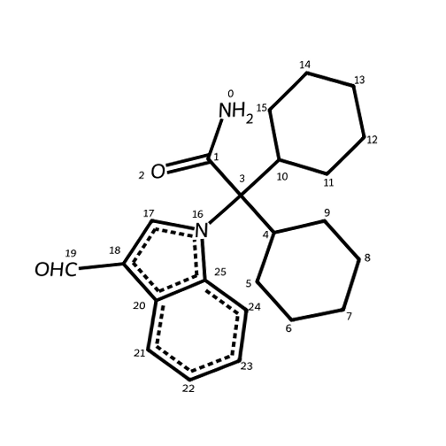 NC(=O)C(C1CCCCC1)(C1CCCCC1)n1cc(C=O)c2ccccc21